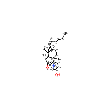 CCN(CC)C[C@@]12C[C@H]3[C@@H]4CC[C@H]([C@H](C)CCCC(C)C)[C@@]4(C)CC[C@@H]3[C@@]3(C)CC[C@H](O)C[C@]13O2